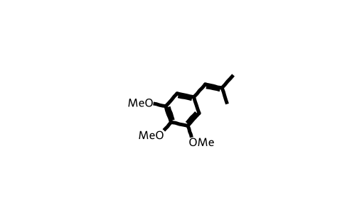 COc1cc(C=C(C)C)cc(OC)c1OC